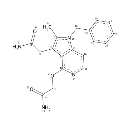 Cc1c(CC(N)=O)c2c(OCC(N)=O)nccc2n1Cc1ccccc1